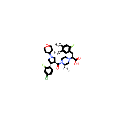 Cc1cc(F)c(C[C@@H](C(=O)O)N2CCN(C(=O)[C@@H]3CN(C4CCOCC4)C[C@H]3c3ccc(Cl)cc3F)[C@@H](C)C2)cc1C